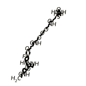 C=CC(=O)Nc1cccc(Oc2nc(Nc3ccc(N4CCN(C(=O)CCCC(=O)NCCCOCCOCCOCCCNC(=O)CCCC[C@@H]5SC[C@@H]6NC(=O)N[C@@H]65)CC4)c(F)c3)nc3[nH]ccc23)c1